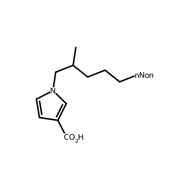 CCCCCCCCCCCCC(C)Cn1ccc(C(=O)O)c1